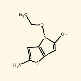 CCOn1c(O)cc2sc(N)cc21